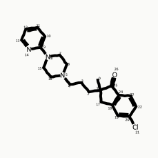 CC1(CCCN2CCN(c3ccccn3)CC2)Cc2cc(Cl)ccc2C1=O